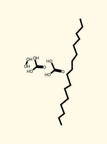 CCCCCCCCCCCCCCCC.O=C(O)O.O=C(O)O.OO